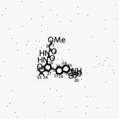 COC=CC(=O)NC(=O)Nc1cc(-c2ccc3cc(NS(C)(=O)=O)ccc3c2)cc2c1OCC2(C)C